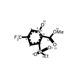 CCS(=O)(=O)c1cc(C(F)(F)F)c[n+]([O-])c1C(=O)OC